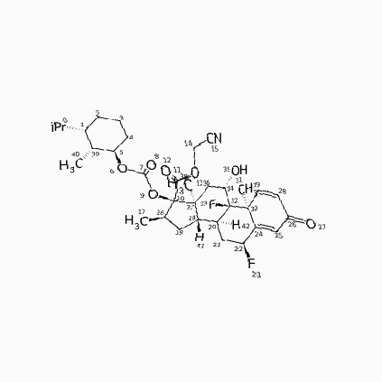 CC(C)[C@@H]1CCC[C@@H](OC(=O)O[C@]2(C(=O)OCC#N)[C@H](C)C[C@H]3[C@@H]4C[C@H](F)C5=CC(=O)C=C[C@]5(C)[C@@]4(F)[C@@H](O)C[C@@]32C)[C@@H]1C